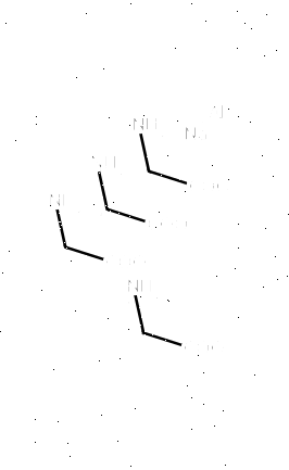 NCC(=O)[O-].NCC(=O)[O-].NCC(=O)[O-].NCC(=O)[O-].[Al+3].[Na+]